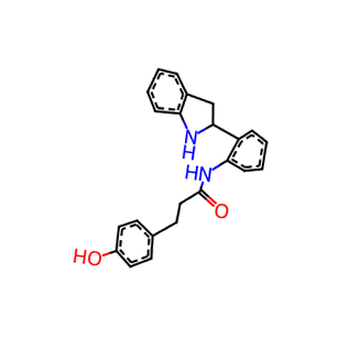 O=C(CCc1ccc(O)cc1)Nc1ccccc1C1Cc2ccccc2N1